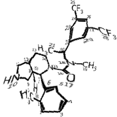 Cc1ccccc1C1[C@@H]2CNCC2CCN1C(=O)N(C)C(C)c1cc(C(F)(F)F)cc(C(F)(F)F)c1